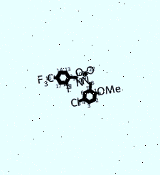 COc1ccc(Cl)cc1Cn1nc(-c2ccc(C(F)(F)F)cc2F)oc1=O